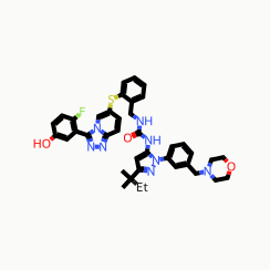 CCC(C)(C)c1cc(NC(=O)NCc2ccccc2Sc2ccc3nnc(-c4cc(O)ccc4F)n3c2)n(-c2cccc(CN3CCOCC3)c2)n1